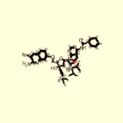 CC(C)[Si](O[C@H]1[C@H](n2ccc3c(NC(=O)c4ccccc4)ncnc32)O[C@H](COc2ccc3cc(Br)c(N)nc3c2)[C@]1(O)C#C[Si](C)(C)C)(C(C)C)C(C)C